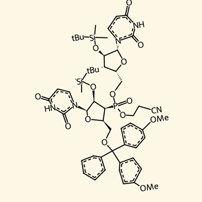 COc1ccc(C(OC[C@H]2O[C@@H](n3ccc(=O)[nH]c3=O)[C@@H](O[Si](C)(C)C(C)(C)C)[C@H]2P(=O)(OCCC#N)OC[C@@H]2[CH][C@@H](O[Si](C)(C)C(C)(C)C)[C@H](n3ccc(=O)[nH]c3=O)O2)(c2ccccc2)c2ccc(OC)cc2)cc1